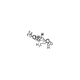 CCCc1c(OCC(C)(C#N)NC(=O)c2ccc(OC(F)(F)F)cc2)ccc(C=O)c1O